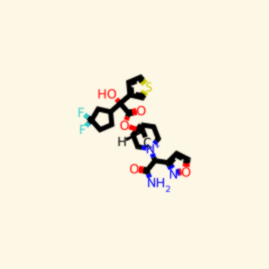 NC(=O)C(c1ccon1)[N+]12CCC(CC1)[C@@H](OC(=O)C(O)(c1ccsc1)C1CCC(F)(F)C1)C2